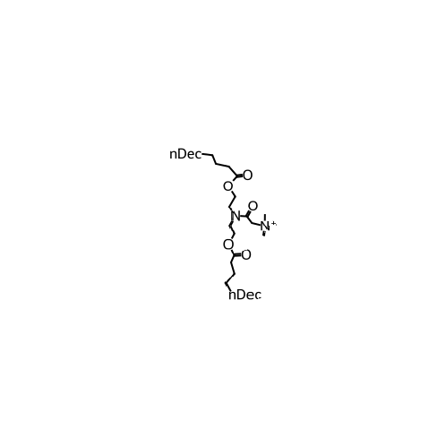 CCCCCCCCCCCCCC(=O)OCCN(CCOC(=O)CCCCCCCCCCCCC)C(=O)C[N+](C)(C)C